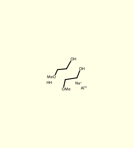 COCCO.COCCO.[Al+3].[HH].[Na+]